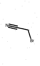 N#C[CH]Br